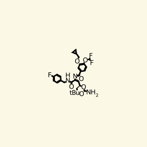 CC(C)(C)C[C@H](OC(N)=O)c1oc(-c2ccc(OC(F)F)c(OCC3CC3)c2)nc1C(=O)NCc1ccc(F)cc1